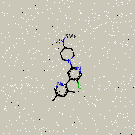 CSNC1CCN(c2cc(-c3ncc(C)cc3C)c(Cl)cn2)CC1